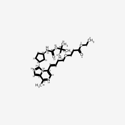 CCOC(=O)CCOCC/C=C/c1cnc(C)c2cnc([C@@H]3CC[C@@H](NC(=O)OC(C)(C)C)C3)n12